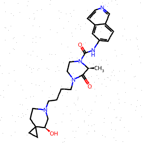 C[C@H]1C(=O)N(CCCCN2CCC3(CC3)[C@H](O)C2)CCN1C(=O)Nc1ccc2cnccc2c1